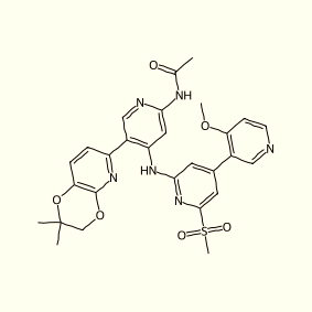 COc1ccncc1-c1cc(Nc2cc(NC(C)=O)ncc2-c2ccc3c(n2)OCC(C)(C)O3)nc(S(C)(=O)=O)c1